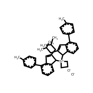 Cc1ccc(-c2cccc3c2C=C(CC(C)C)[CH]3[Ti+2]2([CH]3C(CC(C)C)=Cc4c(-c5ccc(C)cc5)cccc43)[CH2]C[CH2]2)cc1.[Cl-].[Cl-]